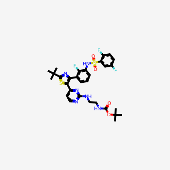 CC(C)(C)OC(=O)NCCNc1nccc(-c2sc(C(C)(C)C)nc2-c2cccc(NS(=O)(=O)c3cc(F)ccc3F)c2F)n1